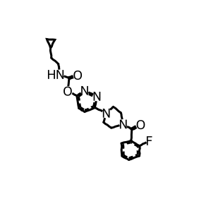 O=C(NCCC1CC1)Oc1ccc(N2CCN(C(=O)c3ccccc3F)CC2)nn1